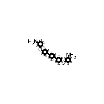 Nc1cccc(Oc2ccc(-c3ccc(-c4ccc(Oc5cccc(N)c5)cc4)cc3)cc2)c1